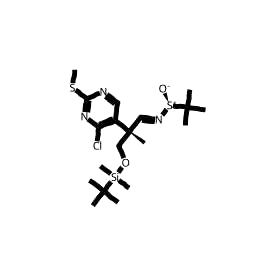 CSc1ncc([C@](C)(/C=N/[S@@+]([O-])C(C)(C)C)CO[Si](C)(C)C(C)(C)C)c(Cl)n1